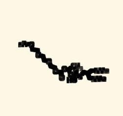 CCCOCCOCCOCCOC(=O)OC(C)OP(=O)(O)SCC(CNC)CNC